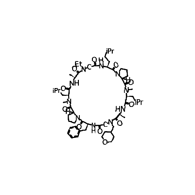 CCN1CC(=O)N[C@@H](CCC(C)C)C(=O)N2CCC[C@@H]2C(=O)N(C)[C@@H](CC(C)C)C(=O)N[C@@H](C)C(=O)N(CC2CCOCC2)CC(=O)N[C@@H](Cc2ccccc2)C(=O)N2CCC[C@@H]2C(=O)N(C)[C@@H](CC(C)C)C(=O)N[C@@H](C)C1=O